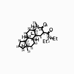 CCN(CC)C(=O)C1C[C@]2(C)[C@H]3CC[C@]4(C)CCC[C@H]4[C@@H]3CC[C@H]2N(C)C1=O